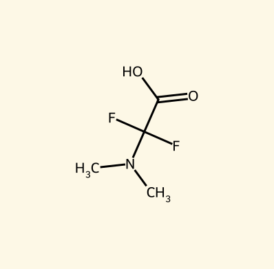 CN(C)C(F)(F)C(=O)O